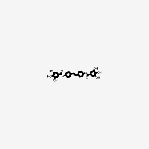 O=C(Oc1ccc(C=Cc2ccc(OC(=O)c3cc(O)c(O)c(O)c3)cc2)cc1)c1cc(O)c(O)c(O)c1